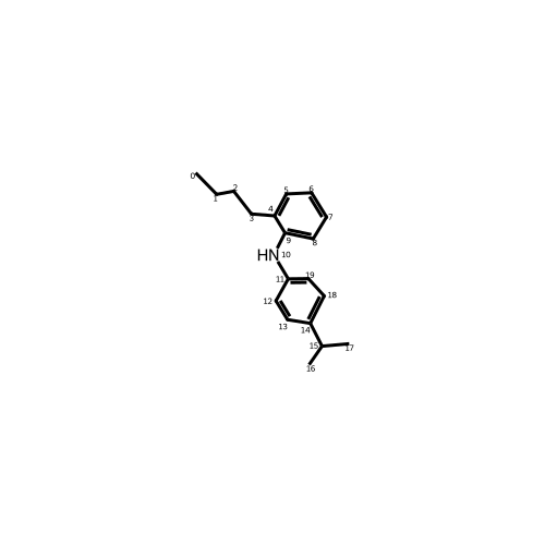 CCCCc1ccccc1Nc1ccc(C(C)C)cc1